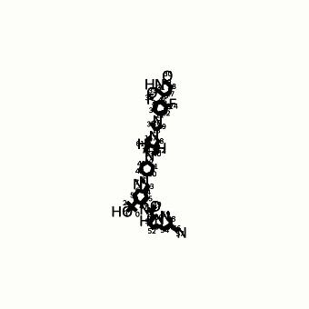 CC(C)(O)c1cc2nn(C3CCC(N4C[C@@H]5CN(C6CN(c7cc(F)c([C@H]8CCC(=O)NC8=O)c(F)c7)C6)C[C@H]5C4)CC3)cc2cc1NC(=O)c1ccc2cc(C#N)cnn12